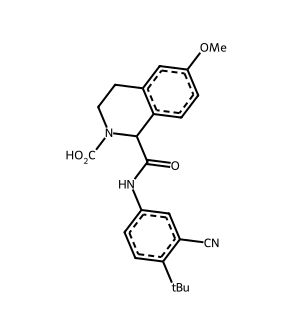 COc1ccc2c(c1)CCN(C(=O)O)C2C(=O)Nc1ccc(C(C)(C)C)c(C#N)c1